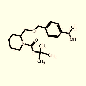 CC(C)(C)OC(=O)N1CCCCC1COCc1ccc(B(O)O)cc1